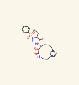 CC(C)CC(NS(=O)(=O)c1ccccc1)C(=O)NC1CCCc2nc(cs2)CCNC(=O)C1=O